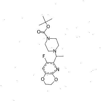 CC(c1nc2c(cc1F)OCCO2)N1CCN(C(=O)OC(C)(C)C)CC1